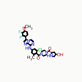 COc1ccc(-c2cnc3c(Nc4cc(C)c(C(=O)N5CCN(C(=O)[C@@H]6C[C@@H](O)CN6)CC5)c(Cl)c4)nccn23)c(F)c1F